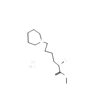 COC(=O)[C@H](N)CCCCN1CCCCC1.Cl.Cl